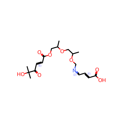 CC(COC(=O)/C=C/C(=O)C(C)(C)O)OCC(C)OC/N=C\C=C\C(=O)O